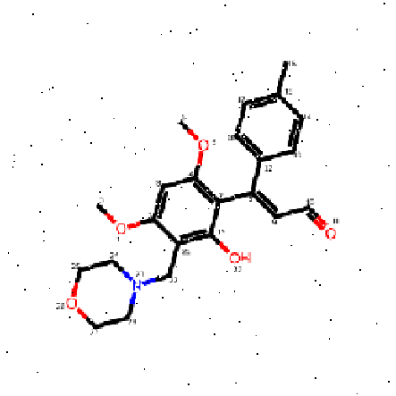 COc1cc(OC)c(C(=CC=O)c2ccc(C)cc2)c(O)c1CN1CCOCC1